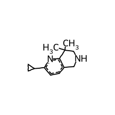 CC1(C)CNCc2ccc(C3CC3)nc21